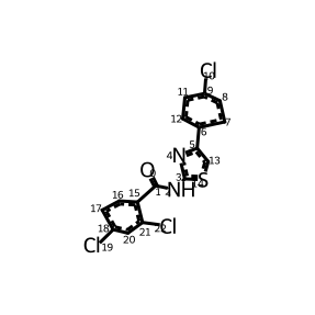 O=C(Nc1nc(-c2ccc(Cl)cc2)cs1)c1ccc(Cl)cc1Cl